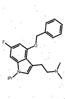 CC(C)n1cc(CCN(C)C)c2c(OCc3ccccc3)cc(F)cc21